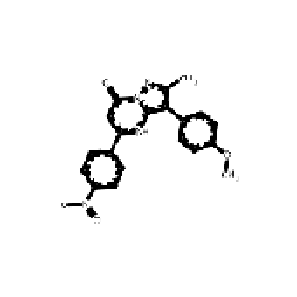 COc1ccc(-c2c(C)nn3c(=O)cc(-c4ccc([N+](=O)[O-])cc4)[nH]c23)cc1